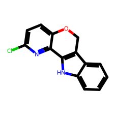 Clc1ccc2c(n1)-c1[nH]c3ccccc3c1CO2